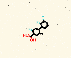 CC1CC(C(O)O)=C(F)C=C1c1cccc(F)c1F